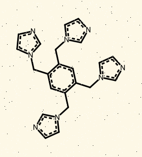 c1cn(Cc2cc(Cn3ccnc3)c(Cn3ccnc3)cc2Cn2ccnc2)cn1